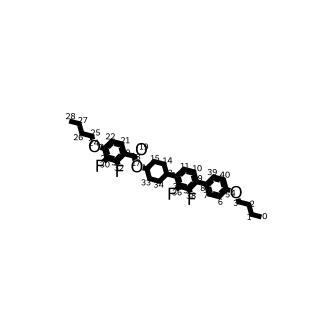 CCCCOc1ccc(-c2ccc(C3CCC(OC(=O)c4ccc(OCCCC)c(F)c4F)CC3)c(F)c2F)cc1